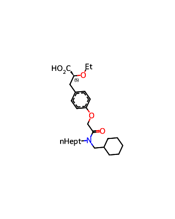 CCCCCCCN(CC1CCCCC1)C(=O)COc1ccc(C[C@H](OCC)C(=O)O)cc1